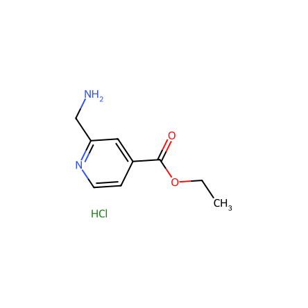 CCOC(=O)c1ccnc(CN)c1.Cl